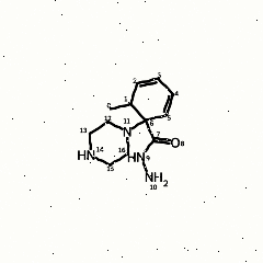 CC1C=CC=CC1(C(=O)NN)N1CCNCC1